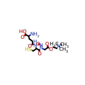 C[N+](C)(C)CCOC(=O)CN(N=O)C(=O)C(CS)NC(=O)CCC(N)C(=O)O